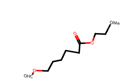 COCCOC(=O)CCCCCOC=O